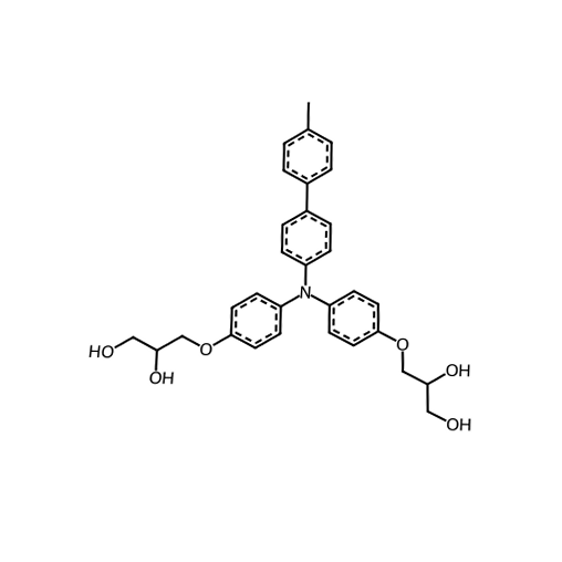 Cc1ccc(-c2ccc(N(c3ccc(OCC(O)CO)cc3)c3ccc(OCC(O)CO)cc3)cc2)cc1